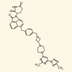 Cc1nc(N2CCN(C3CN(Cc4ccc(Cc5ccc6c7c(cccc57)C(=O)N6C5CCC(=O)NC5=O)cc4)C3)CC2)cc(-n2cnc(C)n2)n1